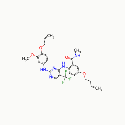 C=CCCOc1ccc(Nc2nc(Nc3ccc(OCC=C)c(OC)c3)ncc2C(F)(F)F)c(C(=O)NC)c1